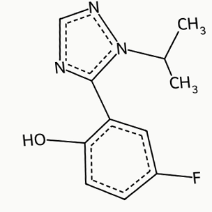 CC(C)n1ncnc1-c1cc(F)ccc1O